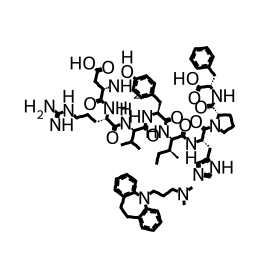 CC[C@H](C)[C@H](NC(=O)[C@H](Cc1ccc(O)cc1)NC(=O)[C@@H](NC(=O)[C@H](CCCNC(=N)N)NC(=O)[C@@H](N)CC(=O)O)C(C)C)C(=O)N[C@@H](Cc1cnc[nH]1)C(=O)N1CCC[C@H]1C(=O)N[C@@H](Cc1ccccc1)C(=O)O.CN(C)CCCN1c2ccccc2CCc2ccccc21